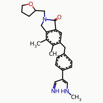 CN/C=C(\C=N)c1ccc(Cc2cc3c(c(C)c2C)CN(CC2CCCO2)C3=O)cc1